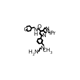 CC(C)n1ncc2c(C(=O)NCC3CCOCC3)cc(-c3cccc(CN(C)CCN)c3)nc21